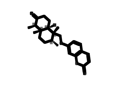 C[C@@H]1CC[C@@]2(C)[C@@H](CCC(=O)[C@@H]2C)[C@]1(C)COc1ccc2ccc(=O)oc2c1